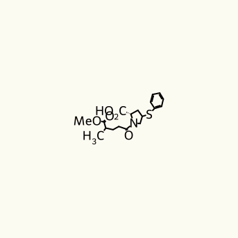 COC(=O)C(C)CCC(=O)N1CC(Sc2ccccc2)C[C@H]1C(=O)O